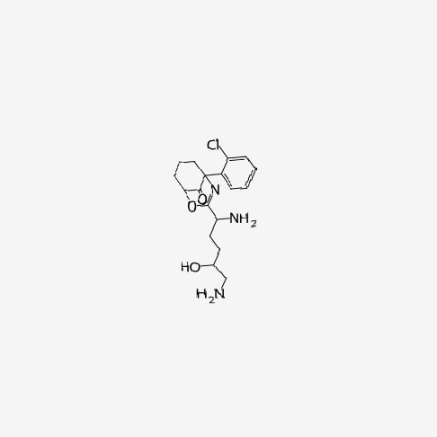 NCC(O)CCC(N)C1=NC2(c3ccccc3Cl)CCCC(O1)C2=O